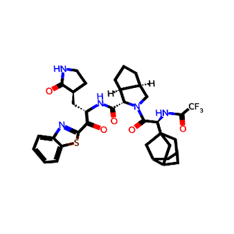 O=C1NCC[C@H]1C[C@H](NC(=O)[C@@H]1[C@H]2CCC[C@H]2CN1C(=O)[C@@H](NC(=O)C(F)(F)F)C12CC3CC(C1)C(C3)C2)C(=O)c1nc2ccccc2s1